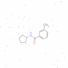 Cc1cccc(C(=O)NC2CCCC2)c1